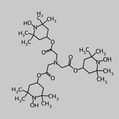 CC1(C)CC(OC(=O)CN(CC(=O)OC2CC(C)(C)N(O)C(C)(C)C2)CC(=O)OC2CC(C)(C)N(O)C(C)(C)C2)CC(C)(C)N1O